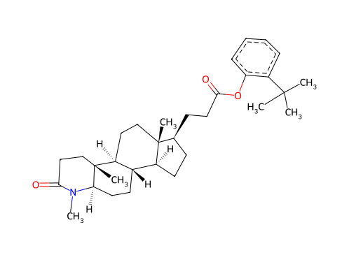 CN1C(=O)CC[C@]2(C)[C@H]3CC[C@]4(C)[C@@H](CCC(=O)Oc5ccccc5C(C)(C)C)CC[C@H]4[C@@H]3CC[C@@H]12